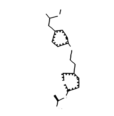 CCOC(=O)C(Cc1ccc(OCCc2ccc(NC(=O)OC)cc2)cc1)OCC